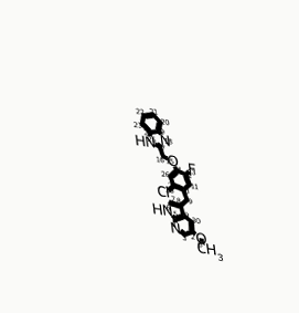 COc1cnc2[nH]cc(Cc3cc(F)c(OCc4nc5ccccc5[nH]4)cc3Cl)c2c1